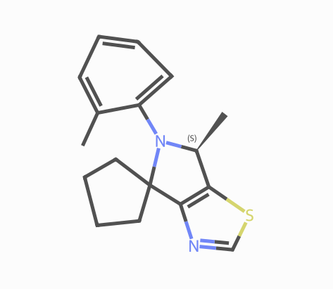 Cc1ccccc1N1[C@@H](C)c2scnc2C12CCCC2